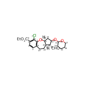 CCOC(=O)c1ccc2c(c1Cl)O[C@H]1C[C@@H](OC3CCCCO3)[C@H](C=O)[C@H]1CC2